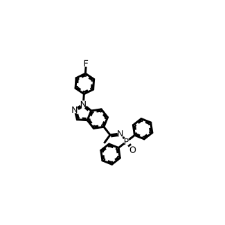 CC(=NP(=O)(c1ccccc1)c1ccccc1)c1ccc2c(cnn2-c2ccc(F)cc2)c1